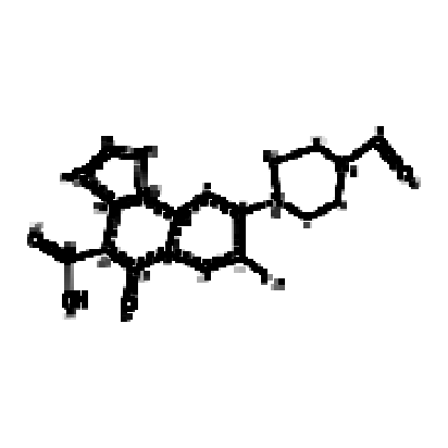 O=CN1CCN(c2cc3c(cc2F)c(=O)c(C(=O)O)c2sccn23)CC1